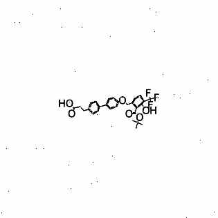 CC(C)(C)OC(=O)c1c(COc2ccc(-c3ccc(CCC(=O)O)cc3)cc2)ccc(C(F)(F)F)c1O